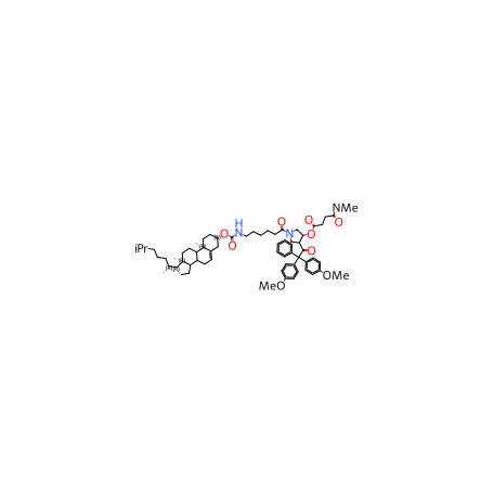 CNC(=O)CCC(=O)OC1CN(C(=O)CCCCCNC(=O)O[C@H]2CC[C@@]3(C)C(=CCC4C3CC[C@@]3(C)C4CC[C@@H]3[C@H](C)CCCC(C)C)C2)CC1C(=O)C(c1ccccc1)(c1ccc(OC)cc1)c1ccc(OC)cc1